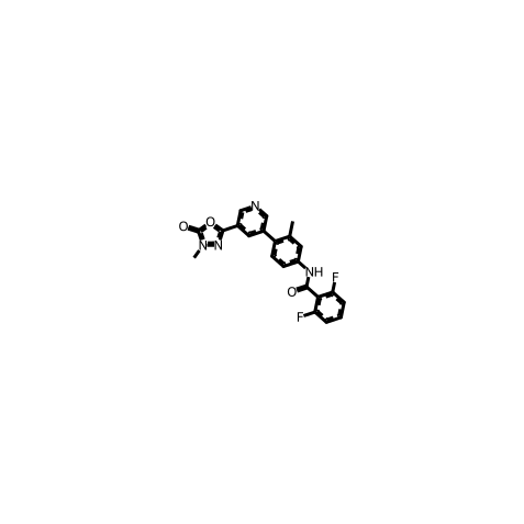 Cc1cc(NC(=O)c2c(F)cccc2F)ccc1-c1cncc(-c2nn(C)c(=O)o2)c1